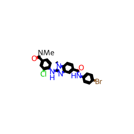 CNC(=O)c1ccc(Nc2nc3cc(C(=O)Nc4ccc(Br)cc4)ccc3n2C)c(Cl)c1